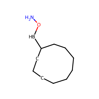 NOBC1CCCCCCCCC1